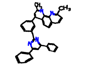 Cc1ccc2ccc3c(-c4cccc(-c5nc(-c6ccccc6)cc(-c6ccccc6)n5)c4)cc(C)nc3c2n1